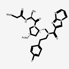 CNCC(=O)N[C@H](C(=O)N1C[C@@H](NC(C)=O)C[C@H]1CN(CCc1ccc(F)cc1)C(=O)c1cn2cccnc2n1)C(C)(C)C